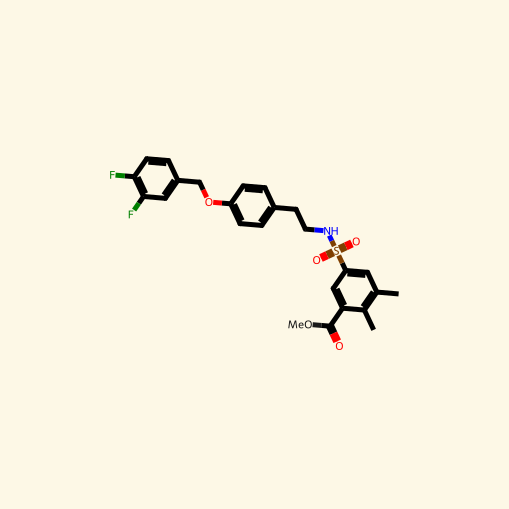 COC(=O)c1cc(S(=O)(=O)NCCc2ccc(OCc3ccc(F)c(F)c3)cc2)cc(C)c1C